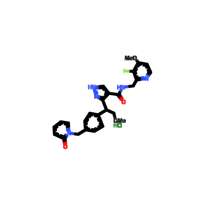 COCC(c1ccc(Cn2ccccc2=O)cc1)c1n[nH]cc1C(=O)NCc1nccc(OC)c1F.Cl